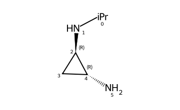 CC(C)N[C@@H]1C[C@H]1N